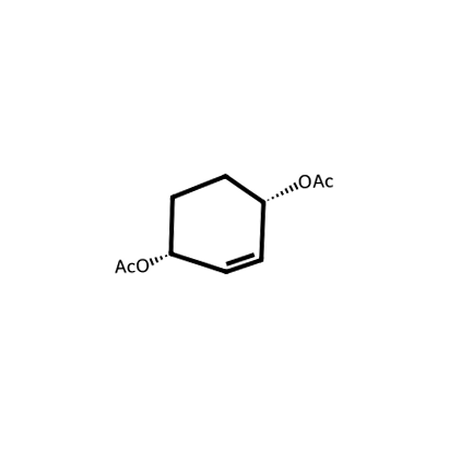 CC(=O)O[C@@H]1C=C[C@H](OC(C)=O)CC1